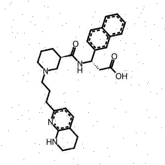 O=C(O)C[C@H](NC(=O)[C@@H]1CCCN(CCCc2ccc3c(n2)NCCC3)C1)c1ccc2ccccc2c1